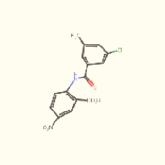 O=C(Nc1ccc([N+](=O)[O-])cc1C(=O)O)c1cc(Cl)cc(C(F)(F)F)c1